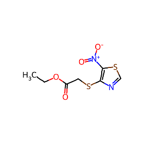 CCOC(=O)CSc1ncsc1[N+](=O)[O-]